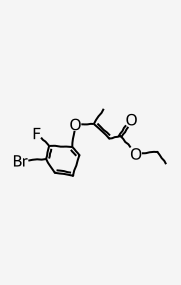 CCOC(=O)C=C(C)Oc1cccc(Br)c1F